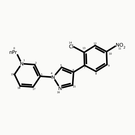 CCCN1C=C(n2cc(-c3ccc([N+](=O)[O-])cc3Cl)cn2)C=CC1